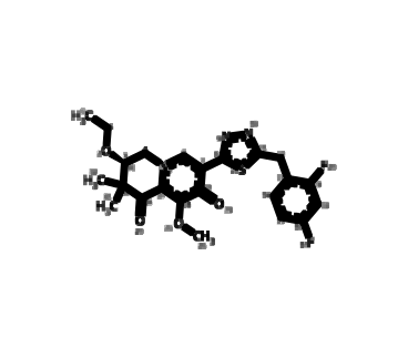 CCO[C@H]1Cn2cc(-c3nnc(Cc4ccc(F)cc4F)s3)c(=O)c(OC)c2C(=O)C1(C)C